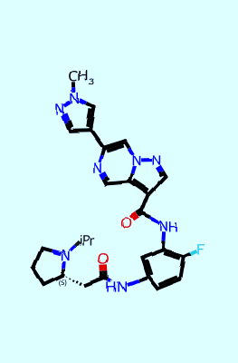 CC(C)N1CCC[C@H]1CC(=O)Nc1ccc(F)c(NC(=O)c2cnn3cc(-c4cnn(C)c4)ncc23)c1